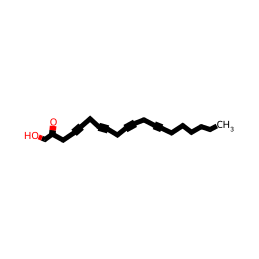 CCCCCCC#CCC#CCC#CCC#CCC(=O)CO